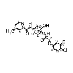 Cc1ccnc(C(=O)NC23CCC(NC(=O)COc4ccc(Cl)c(F)c4)(CC2)C(O)C3)c1